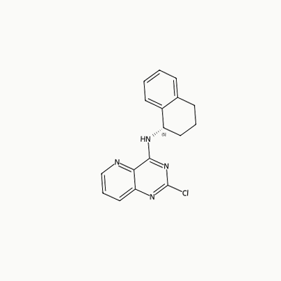 Clc1nc(N[C@H]2CCCc3ccccc32)c2ncccc2n1